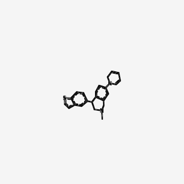 CN1Cc2cc(N3C=CC=CC3)ccc2C(c2ccc3sccc3c2)C1